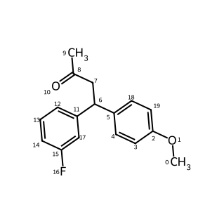 COc1ccc(C(CC(C)=O)c2cccc(F)c2)cc1